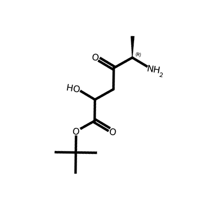 C[C@@H](N)C(=O)CC(O)C(=O)OC(C)(C)C